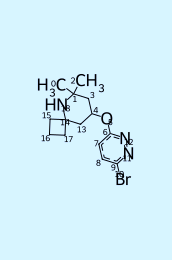 CC1(C)CC(Oc2ccc(Br)nn2)CC2(CCC2)N1